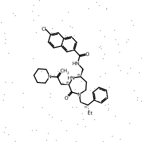 C=C(C[C@H]1N[C@@H](CNC(=O)c2ccc3cc(Cl)ccc3c2)CCN(C[C@@H](CC)c2ccccc2)C1=O)N1CCCCC1